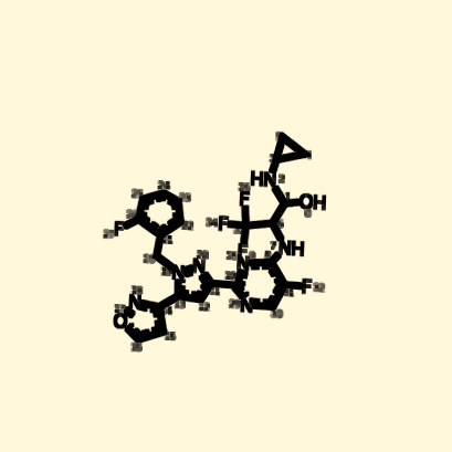 OC(NC1CC1)C(Nc1nc(-c2cc(-c3ccon3)n(Cc3ccccc3F)n2)ncc1F)C(F)(F)F